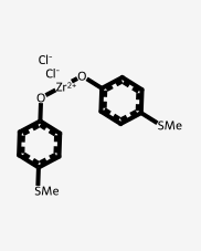 CSc1ccc([O][Zr+2][O]c2ccc(SC)cc2)cc1.[Cl-].[Cl-]